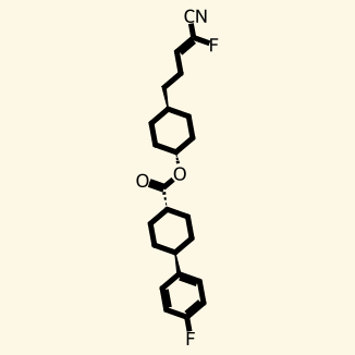 N#CC(F)=CCC[C@H]1CC[C@H](OC(=O)[C@H]2CC[C@H](c3ccc(F)cc3)CC2)CC1